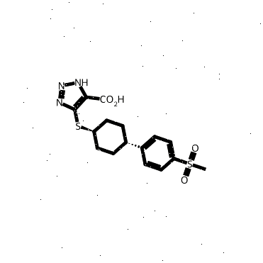 CS(=O)(=O)c1ccc([C@H]2CC[C@H](Sc3nn[nH]c3C(=O)O)CC2)cc1